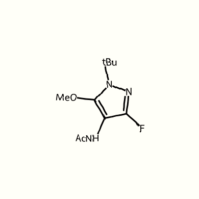 COc1c(NC(C)=O)c(F)nn1C(C)(C)C